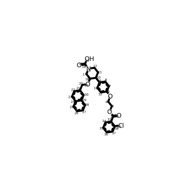 O=C(OCCOc1ccc(C2CCN(C(=O)O)CC2OCc2ccc3ccccc3c2)cc1)c1ccccc1Cl